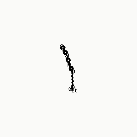 CCC(=O)OCCCCCCCCCOc1ccc(N=Nc2ccc(N=Nc3ccc(N4CCOCC4)cc3)cc2)cc1